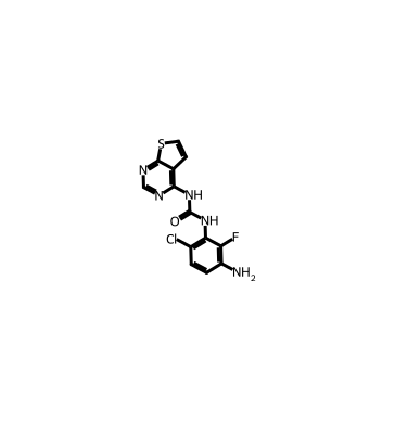 Nc1ccc(Cl)c(NC(=O)Nc2ncnc3sccc23)c1F